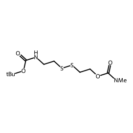 CNC(=O)OCCSSCCNC(=O)OC(C)(C)C